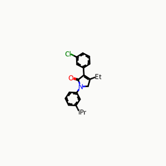 CCC1=C(c2cccc(Cl)c2)C(=O)N(c2cccc(C(C)C)c2)C1